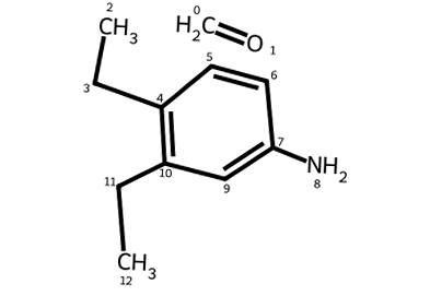 C=O.CCc1ccc(N)cc1CC